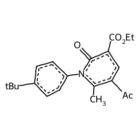 CCOC(=O)c1cc(C(C)=O)c(C)n(-c2ccc(C(C)(C)C)cc2)c1=O